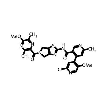 COc1cnc(Cl)cc1-c1cc(C)ncc1C(=O)Nc1nc2c(s1)CN(C(=O)c1nc(C)c(OC)nc1C)C2